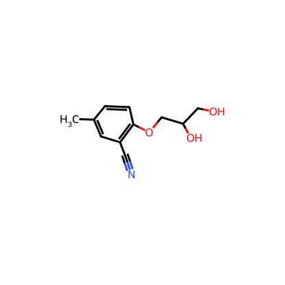 Cc1ccc(OCC(O)CO)c(C#N)c1